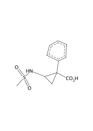 CS(=O)(=O)NC1CC1(C(=O)O)c1ccccc1